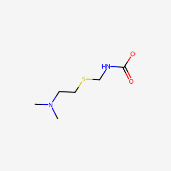 CN(C)CCSCNC([O])=O